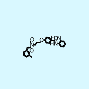 Cc1cccc2cc(N(C=O)CCCOc3ccc(C(=O)Nc4ccccc4N)cc3)oc12